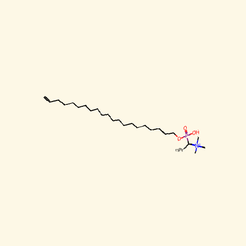 C=CCCCCCCCCCCCCCCCCCCCOP(=O)(O)C(CCC)[N+](C)(C)C